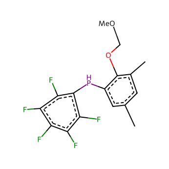 COCOc1c(C)cc(C)cc1Pc1c(F)c(F)c(F)c(F)c1F